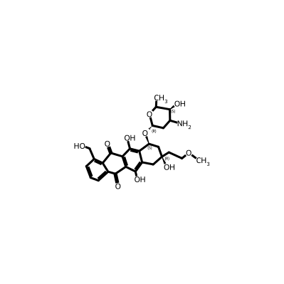 COCC[C@]1(O)Cc2c(O)c3c(c(O)c2[C@@H](O[C@H]2CC(N)[C@H](O)C(C)O2)C1)C(=O)c1c(CO)cccc1C3=O